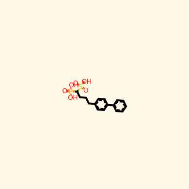 O=P(O)(O)C(CCCc1ccc(-c2ccccc2)cc1)S(=O)(=O)O